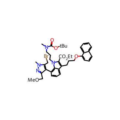 CCOC(=O)c1c(CCCOc2cccc3ccccc23)c2cccc(-c3c(COC)nn(C)c3CBr)c2n1CCCN(C)C(=O)OC(C)(C)C